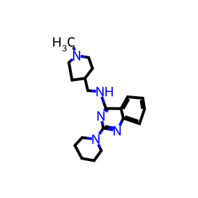 CN1CCC(CNc2nc(N3CCCCC3)nc3ccccc23)CC1